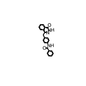 O=C(Nc1ccc(Cc2n[nH]c(=O)c3ccccc23)cc1)c1ccccc1